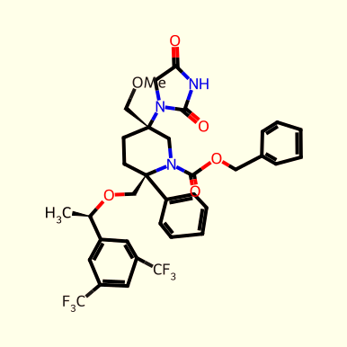 COC[C@]1(N2CC(=O)NC2=O)CC[C@@](CO[C@H](C)c2cc(C(F)(F)F)cc(C(F)(F)F)c2)(c2ccccc2)N(C(=O)OCc2ccccc2)C1